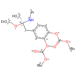 CCOC(=O)O[C@](Cc1ccc(OC(=O)OC(C)(C)C)c(OC(=O)OC(C)(C)C)c1)(NC(C)C)C(=O)O